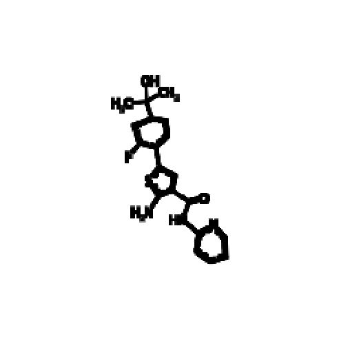 CC(C)(O)c1ccc(-c2cc(C(=O)Nc3ccccn3)c(N)s2)c(F)c1